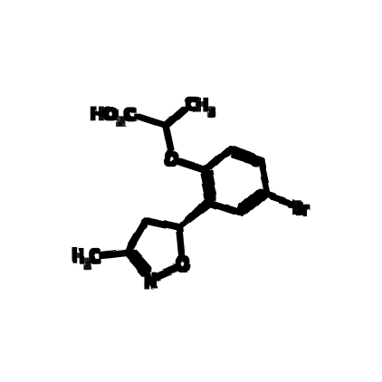 CC1=NO[C@H](c2cc(Br)ccc2OC(C)C(=O)O)C1